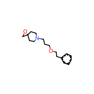 c1ccc(CCOCCCN2CCC3(CC2)CO3)cc1